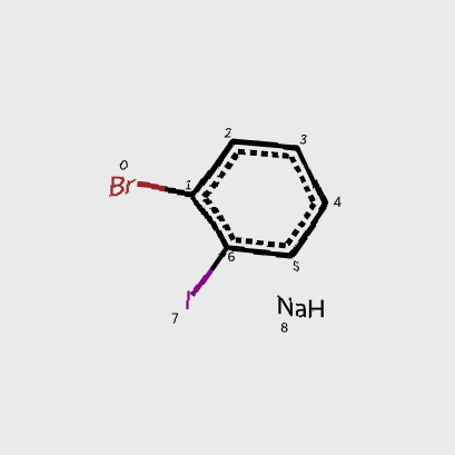 Brc1ccccc1I.[NaH]